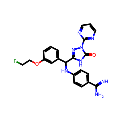 N=C(N)c1ccc(NC(c2cccc(OCCF)c2)c2nn(-c3ncccn3)c(=O)[nH]2)cc1